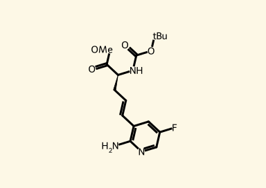 COC(=O)[C@H](C/C=C/c1cc(F)cnc1N)NC(=O)OC(C)(C)C